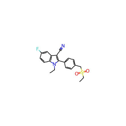 CCn1c(-c2ccc(CS(=O)(=O)CC)cc2)c(C#N)c2cc(F)ccc21